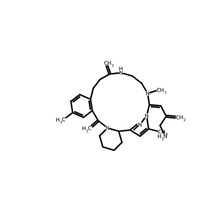 C=C(/C=C1/N(C)CCNC(=C)CCc2ccc(C)cc2C(=C)N2CCCCC2c2cc(C)n1n2)CN